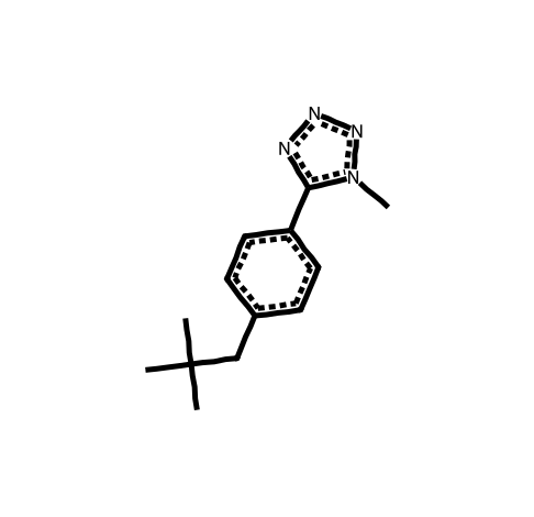 Cn1nnnc1-c1ccc(CC(C)(C)C)cc1